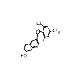 Oc1ccc2cc(Oc3c(F)cc(C(F)(F)F)cc3Cl)ccc2c1